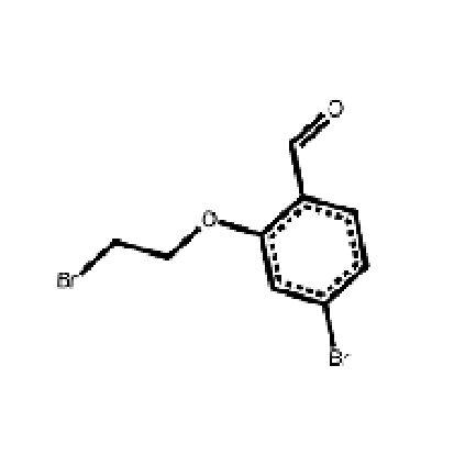 O=Cc1ccc(Br)cc1OCCBr